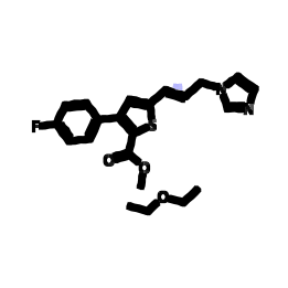 CCOCC.COC(=O)c1sc(/C=C/Cn2ccnc2)cc1-c1ccc(F)cc1